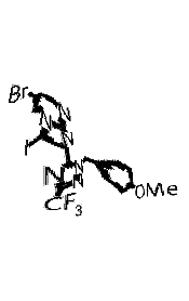 COc1ccc(Cn2nc(C(F)(F)F)nc2-c2nc3ncc(Br)cn3c2I)cc1